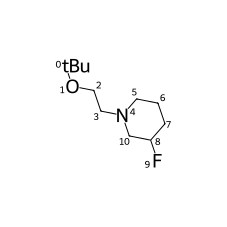 CC(C)(C)OCCN1CCCC(F)C1